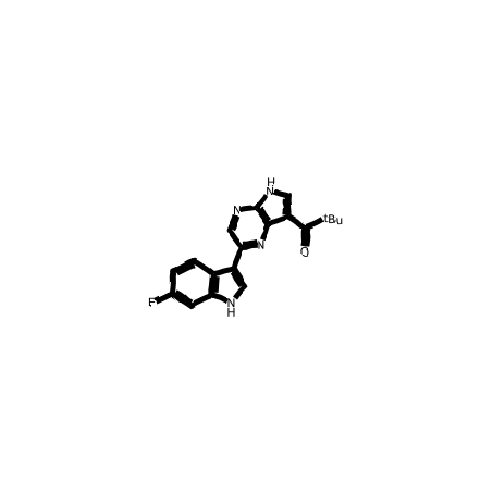 CC(C)(C)C(=O)c1c[nH]c2ncc(-c3c[nH]c4cc(F)ccc34)nc12